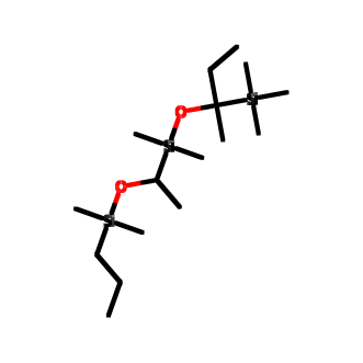 CCC[Si](C)(C)OC(C)[Si](C)(C)OC(C)(CC)[Si](C)(C)C